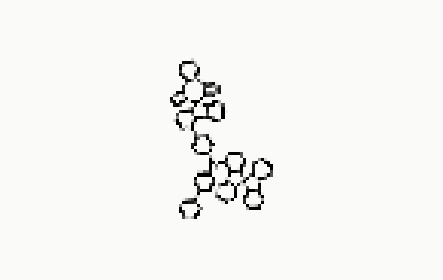 c1ccc(-c2ccc(N(c3ccc(-c4cccc5c4-c4ccccc4C54c5ccccc5-c5ccccc5-c5ccccc54)cc3)c3cccc4c3-c3ccccc3C43c4ccccc4-c4ccccc43)cc2)cc1